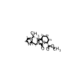 CCn1ccnc1Cn1nc2n(c1=O)[C@@H](C(=O)OC)CCC2